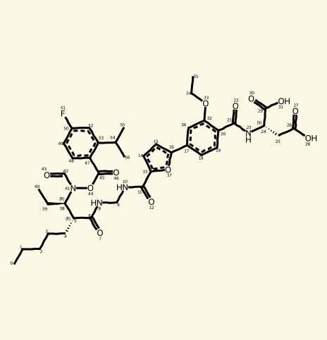 CCCCC[C@@H](C(=O)NCNC(=O)c1ccc(-c2ccc(C(=O)N[C@@H](CC(=O)O)C(=O)O)c(OCC)c2)o1)[C@@H](CC)N(C=O)OC(=O)c1ccc(F)cc1C(C)C